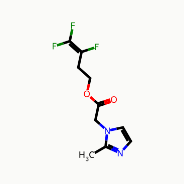 Cc1nccn1CC(=O)OCCC(F)=C(F)F